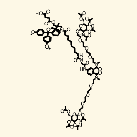 COc1ccc(C(OCC2(C)CN(C(=O)CCCCCCCCC(=O)NCC(=O)Nc3ccc(C(=O)N(C)CCOCCOCCOCCOC4O[C@H](COC(C)=O)[C@H](OC(C)=O)[C@H](OC(C)=O)[C@H]4NC(C)=O)c(C(=O)N(C)CCOCCOCCOCCOC4O[C@H](COC(C)=O)[C@H](OC(C)=O)[C@H](OC(C)=O)[C@H]4NC(C)=O)c3)CC2(C)COC(=O)CCC(=O)O)(c2ccccc2)c2ccc(OC)cc2)cc1